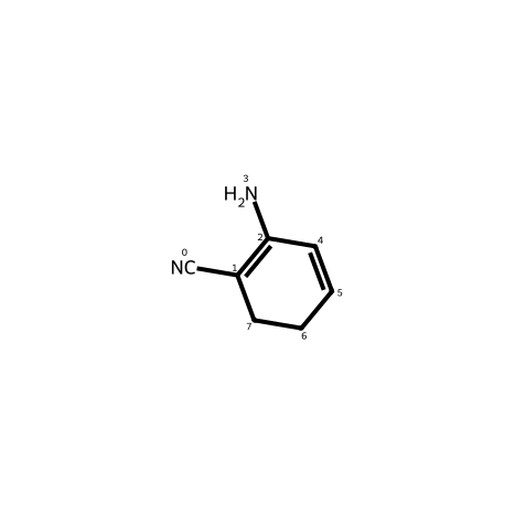 N#CC1=C(N)C=CCC1